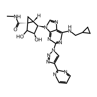 CNC(=O)[C@]12C[C@@H]1[C@@H](n1cnc3c(NCC4CC4)nc(-n4cc(-c5ncccn5)nn4)nc31)[C@@H](O)C2O